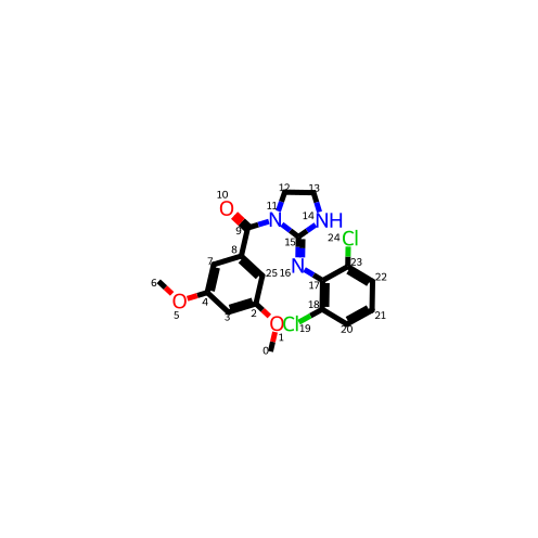 COc1cc(OC)cc(C(=O)N2CCN/C2=N\c2c(Cl)cccc2Cl)c1